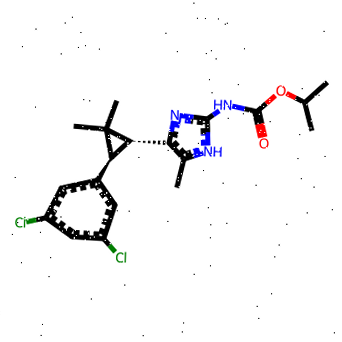 Cc1[nH]c(NC(=O)OC(C)C)nc1[C@@H]1[C@@H](c2cc(Cl)cc(Cl)c2)C1(C)C